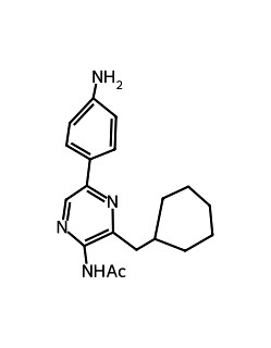 CC(=O)Nc1ncc(-c2ccc(N)cc2)nc1CC1CCCCC1